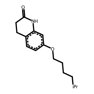 CC(C)CCCCOc1ccc2c(c1)NC(=O)CC2